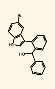 OC(c1ccccc1)c1ccccc1-c1c[nH]c2ccc(Br)cc12